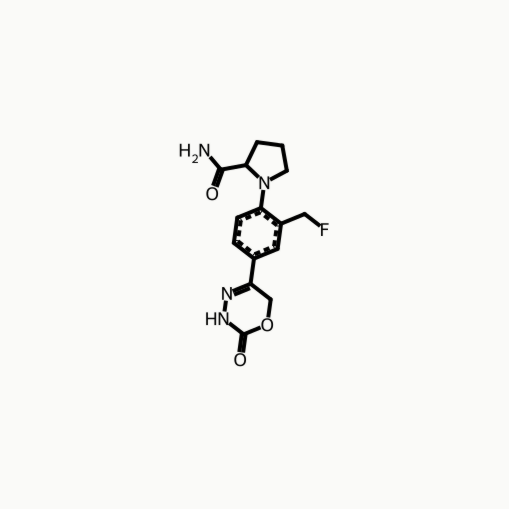 NC(=O)C1CCCN1c1ccc(C2=NNC(=O)OC2)cc1CF